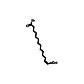 CCCCCCCC/C=C\CCCCCCCCCCCC(=O)C(C)C